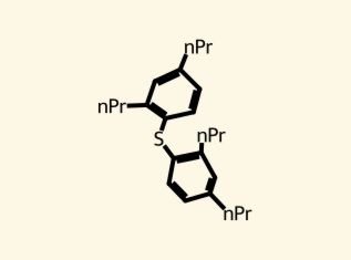 CCCc1ccc(Sc2ccc(CCC)cc2CCC)c(CCC)c1